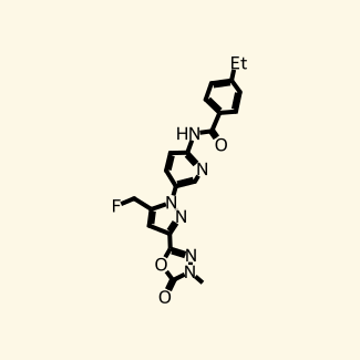 CCc1ccc(C(=O)Nc2ccc(-n3nc(-c4nn(C)c(=O)o4)cc3CF)cn2)cc1